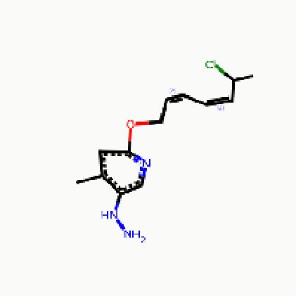 Cc1cc(OC/C=C\C=C/C(C)Cl)ncc1NN